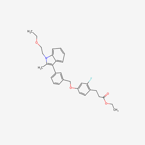 CCOCCn1c(C)c(-c2cccc(COc3ccc(CCC(=O)OCC)c(F)c3)c2)c2ccccc21